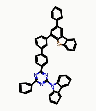 c1ccc(-c2cc(-c3cccc(-c4ccc(-c5nc(-c6ccccc6)nc(-n6c7ccccc7c7ccccc76)n5)cc4)c3)c3sc4ccccc4c3c2)cc1